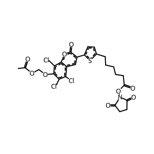 CC(=O)OCOc1c(Cl)c(Cl)c2cc(-c3ccc(CCCCCC(=O)ON4C(=O)CCC4=O)s3)c(=O)oc2c1Cl